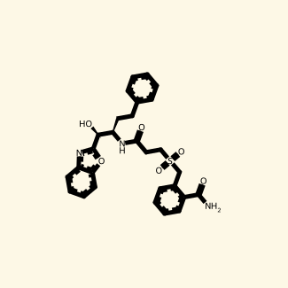 NC(=O)c1ccccc1CS(=O)(=O)C[CH]C(=O)N[C@H](CCc1ccccc1)[C@H](O)c1nc2ccccc2o1